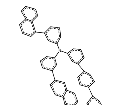 c1ccc(-c2ccc(-c3cccc(N(c4cccc(-c5ccc6ccccc6c5)c4)c4cccc(-c5cccc6ccccc56)c4)c3)cc2)cc1